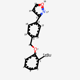 CC(C)(C)c1ccccc1OCc1ccc(-c2ccon2)cc1